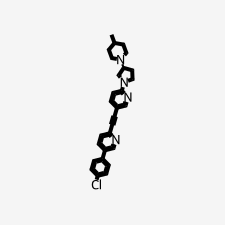 CC1CCN([C@H]2CCN(c3ccc(C#Cc4ccc(-c5ccc(Cl)cc5)cn4)cn3)C2)CC1